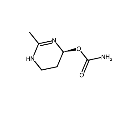 CC1=N[C@@H](OC(N)=O)CCN1